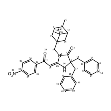 CC1CCC2(CN3C(=O)C(Cc4ccncc4)(Cc4ccncc4)N/C3=C/C(=O)c3ccc([N+](=O)[O-])cc3)CC1C2(C)C